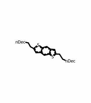 CCCCCCCCCCCCc1cc2cc3sc(CCCCCCCCCCCC)cc3cc2s1